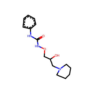 O=C(NOCC(O)CN1CCCCC1)Nc1ccccc1